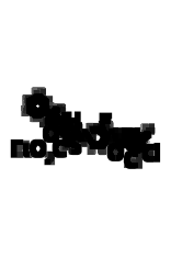 CCOC(=O)c1sc(N2CC[C@@H](NC(=O)c3[nH]c(C)c(Cl)c3Cl)[C@@H](F)C2)nc1C(=O)NC(C)(C)c1ccccc1